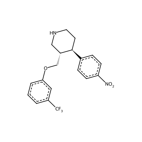 O=[N+]([O-])c1ccc([C@@H]2CCNC[C@H]2COc2cccc(C(F)(F)F)c2)cc1